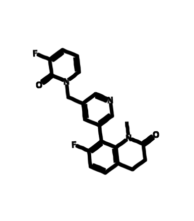 CN1C(=O)CCc2ccc(F)c(-c3cncc(Cn4cccc(F)c4=O)c3)c21